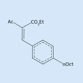 CCCCCCCCc1ccc(C=C(C(C)=O)C(=O)OCC)cc1